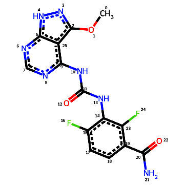 COc1n[nH]c2ncnc(NC(=O)Nc3c(F)ccc(C(N)=O)c3F)c12